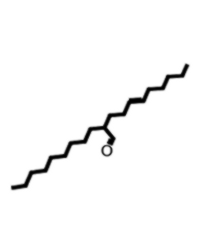 CCCCCC=CCCC(C=O)CCCCCCCCC